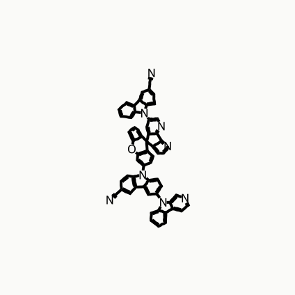 N#Cc1ccc2c(c1)c1ccccc1n2-c1cnc2c(c1)C1(c3ccccc3Oc3cc(-n4c5ccc(C#N)cc5c5cc(-n6c7ccccc7c7ccncc76)ccc54)ccc31)c1cccnc1-2